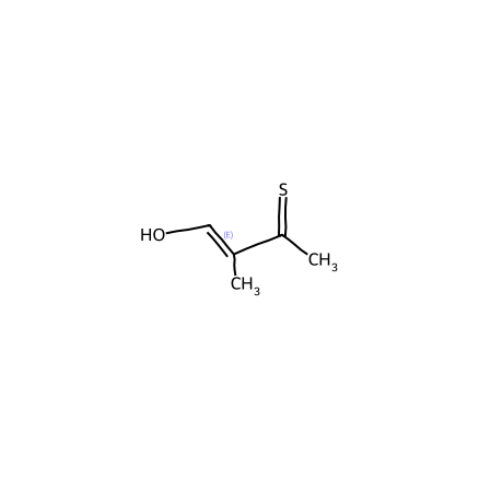 CC(=S)/C(C)=C/O